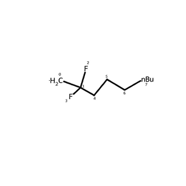 [CH2]C(F)(F)CCCCCCC